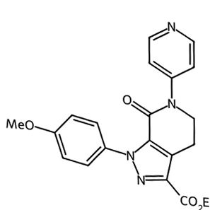 CCOC(=O)c1nn(-c2ccc(OC)cc2)c2c1CCN(c1ccncc1)C2=O